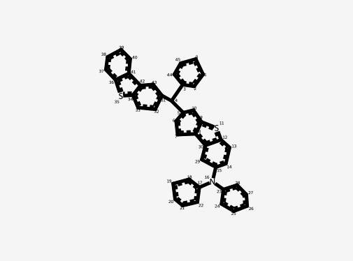 c1ccc(C(c2ccc3c(c2)sc2ccc(N(c4ccccc4)c4ccccc4)cc23)c2ccc3sc4ccccc4c3c2)cc1